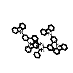 c1ccc(-c2nc(-c3cccc(-c4cc(-n5c6ccccc6c6ccccc65)ccc4-n4c5ccccc5c5ccccc54)c3)nc(-c3cccc(-c4cc(-n5c6ccccc6c6ccccc65)ccc4-n4c5ccccc5c5ccccc54)c3)n2)cc1